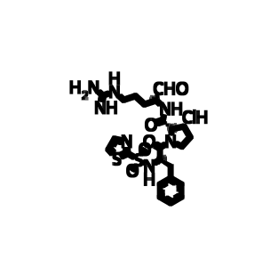 Cl.N=C(N)NCCC[C@@H](C=O)NC(=O)[C@@H]1CCCN1C(=O)[C@@H](Cc1ccccc1)NS(=O)(=O)c1nccs1